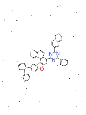 c1ccc(-c2nc(-c3ccc4ccccc4c3)nc(-c3cc4oc5ccc(-c6ccccc6-c6ccccc6)cc5c4c4c3ccc3ccccc34)n2)cc1